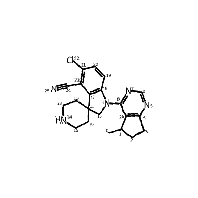 CC1CCc2ncnc(N3CC4(CCNCC4)c4c3ccc(Cl)c4C#N)c21